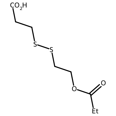 CCC(=O)OCCSSCCC(=O)O